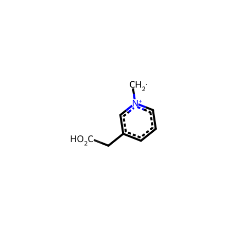 [CH2][n+]1cccc(CC(=O)O)c1